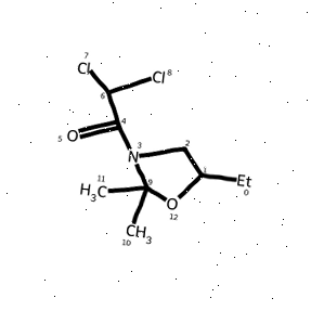 CCC1CN(C(=O)C(Cl)Cl)C(C)(C)O1